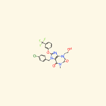 CN1C(=O)c2c(nc(Oc3cccc(C(F)(F)F)c3)n2Cc2ccc(Cl)cc2)N(CCO)C2OC21